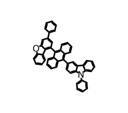 c1ccc(-c2cc(-c3c4ccccc4c(-c4ccc5c(c4)c4ccccc4n5-c4ccccc4)c4ccccc34)c3c(c2)oc2ccccc23)cc1